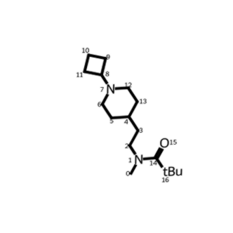 CN(CCC1CCN(C2CCC2)CC1)C(=O)C(C)(C)C